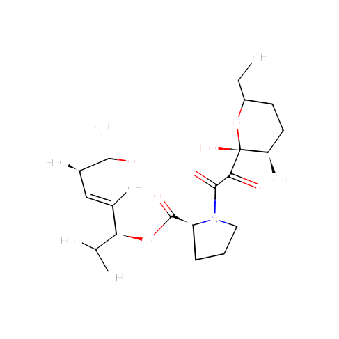 CCC1CC[C@@H](C)[C@](O)(C(=O)C(=O)N2CCC[C@H]2C(=O)O[C@H](/C(C)=C/[C@@H](C)[C@H](C)O)C(C)C)O1